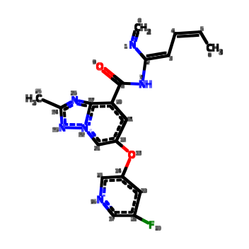 C=N/C(=C\C=C/C)NC(=O)c1cc(Oc2cncc(F)c2)cn2nc(C)nc12